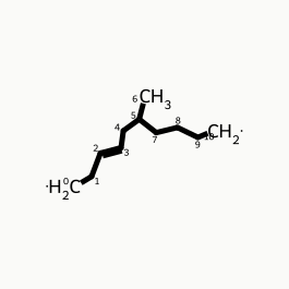 [CH2]C/C=C/CC(C)CCC[CH2]